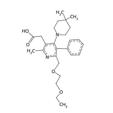 CCOCCOCc1nc(C)c(CC(=O)O)c(N2CCC(C)(C)CC2)c1-c1ccccc1